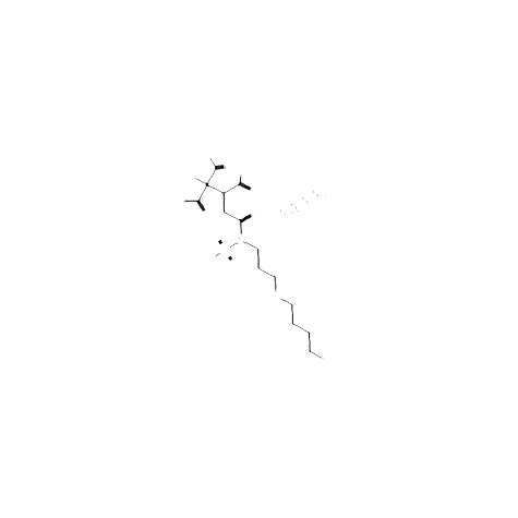 CCCCCOCCCN(C(=O)CC(C(=O)[O-])C(C)(C(=O)[O-])C(=O)[O-])S(=O)(=O)[O-].[Na+].[Na+].[Na+].[Na+]